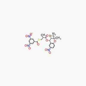 CC(CSC(=O)c1cc([N+](=O)[O-])cc([N+](=O)[O-])c1)C(=O)OC1c2cc([N+](=O)[O-])ccc2OC(C)(C)C1Br